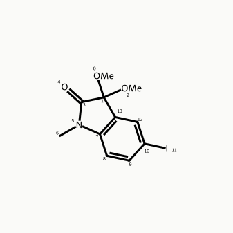 COC1(OC)C(=O)N(C)c2ccc(I)cc21